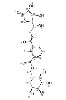 Cc1c(C(=O)OC[C@H](O)[C@H]2OC(=O)C(O)=C2O)cccc1C(=O)OC[C@H]1O[C@H](O)[C@H](O)[C@@H](O)[C@@H]1O